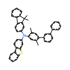 Cc1cc(N(c2ccc3c(c2)C(C)(C)c2ccccc2-3)c2ccc3c(c2)sc2ccccc23)c(C)cc1-c1cccc(-c2ccccc2)c1